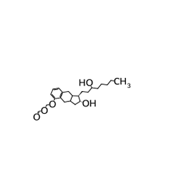 CCCCC[C@H](O)CC[C@@H]1C2Cc3cccc(OCOC=O)c3CC2C[C@H]1O